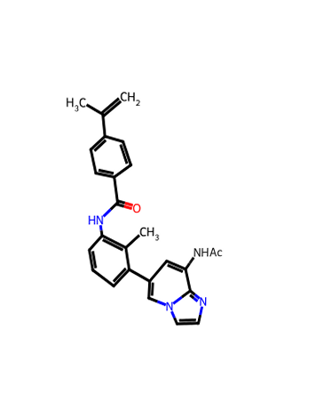 C=C(C)c1ccc(C(=O)Nc2cccc(-c3cc(NC(C)=O)c4nccn4c3)c2C)cc1